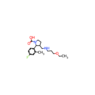 CCOCCCNCC1CCN(C(=O)O)C1c1ccc(F)cc1C